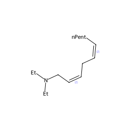 CCCCC/C=C\C/C=C\CN(CC)CC